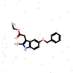 CCOC(=O)Cc1c(C)[nH]c2ccc(OCc3ccccc3)cc12